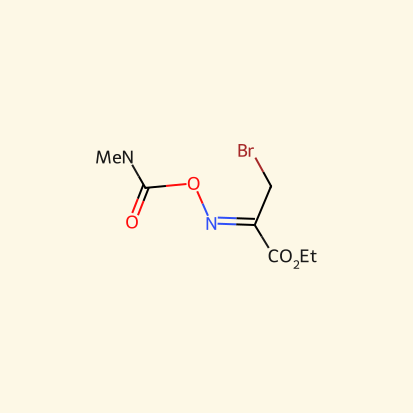 CCOC(=O)C(CBr)=NOC(=O)NC